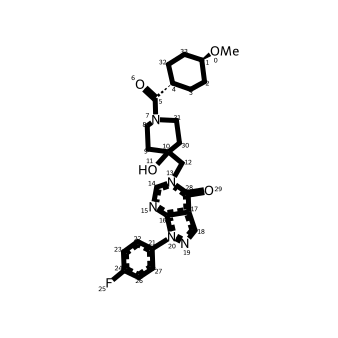 CO[C@H]1CC[C@H](C(=O)N2CCC(O)(Cn3cnc4c(cnn4-c4ccc(F)cc4)c3=O)CC2)CC1